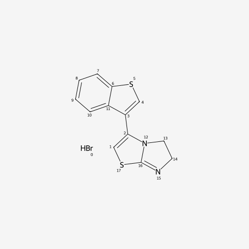 Br.C1=C(c2csc3ccccc23)N2CCN=C2S1